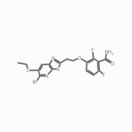 CCOc1cc2nc(CCOc3ccc(F)c(C(N)=O)c3F)sc2nc1Br